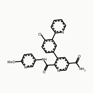 COc1ccc(NC(=O)c2ncc(C(N)=O)cc2-c2ccc(Cl)c(-c3ccccn3)c2)cn1